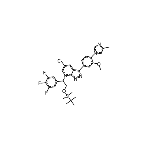 COc1cc(-c2nnc3n(C(CO[Si](C)(C)C(C)(C)C)c4cc(F)c(F)c(F)c4)cc(Cl)cc2-3)ccc1-n1cnc(C)c1